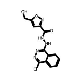 O=C(NNc1nnc(Cl)c2ccccc12)c1cc(CO)on1